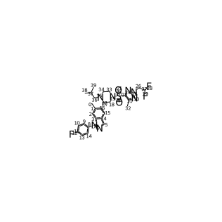 Cc1cc2c(cnn2-c2ccc(F)cc2)cc1[C@H]1CN(S(=O)(=O)c2nn(CC(F)F)nc2C)CCN1CC(C)C